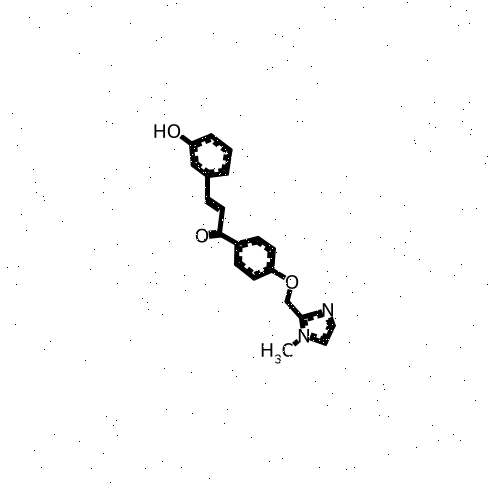 Cn1ccnc1COc1ccc(C(=O)C=Cc2cccc(O)c2)cc1